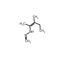 C=NN/C(C)=C(/C)CC